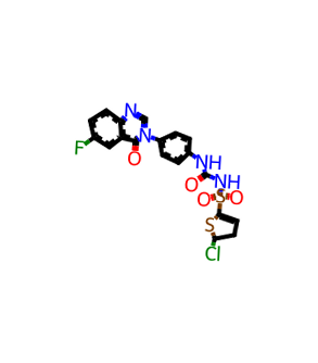 O=C(Nc1ccc(-n2cnc3ccc(F)cc3c2=O)cc1)NS(=O)(=O)C1=CCC(Cl)S1